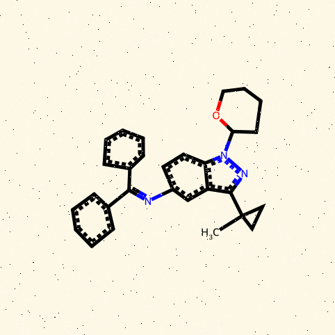 CC1(c2nn(C3CCCCO3)c3ccc(N=C(c4ccccc4)c4ccccc4)cc23)CC1